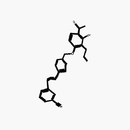 CCCc1c(OCc2ccc(C=Cc3cccc(C#N)c3)cc2)ccc(C(C)=O)c1O